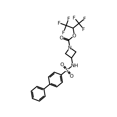 O=C(OC(C(F)(F)F)C(F)(F)F)N1CC(NS(=O)(=O)c2ccc(-c3ccccc3)cc2)C1